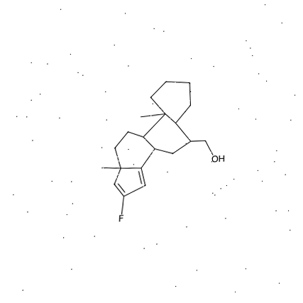 CC12C=C(F)C=C1C1CC(CO)C3CCCCC3(C)C1CC2